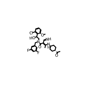 COc1cccc(Cl)c1C(O)CN(Cc1cc(F)cc(F)c1)C(=O)/C(C=N)=C(\C)N[C@H]1CC[C@H](C(C)=O)CC1